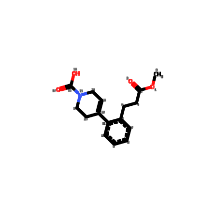 COC(=O)CCc1ccccc1C1=CCN(C(=O)O)CC1